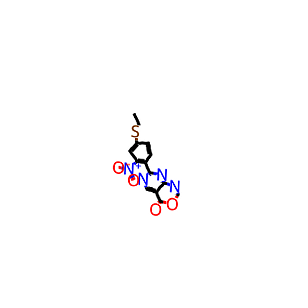 CCSc1ccc(-c2ncc3c(=O)ocnc3n2)c([N+](=O)[O-])c1